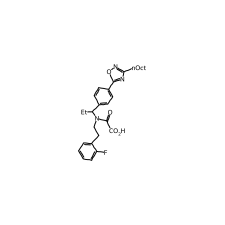 CCCCCCCCc1noc(-c2ccc(C(CC)N(CCc3ccccc3F)C(=O)C(=O)O)cc2)n1